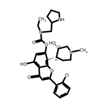 CCN(CC1CCCN1)C(=O)Oc1cc(O)c2c(=O)cc(-c3ccccc3Cl)oc2c1[C@H]1CCN(C)C[C@H]1O